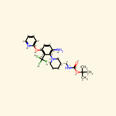 CC(C)(C)OC(=O)NC[C@@H]1CCCN(c2c(N)ccc(Oc3ccccn3)c2C(F)(F)F)C1